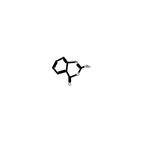 CCCCc1nc2ccccc2c(=O)o1